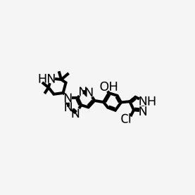 CC1(C)CC(n2nnc3cc(-c4ccc(-c5c[nH]nc5Cl)cc4O)nnc32)CC(C)(C)N1